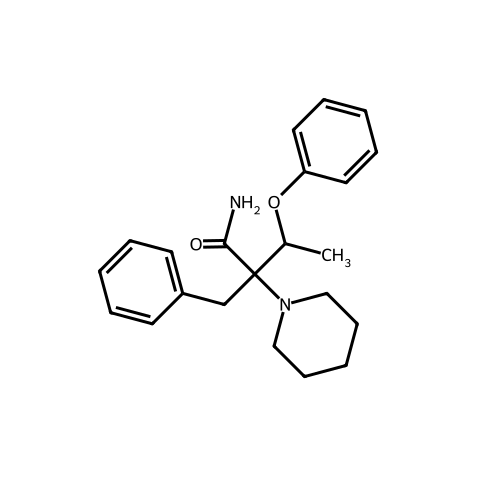 CC(Oc1ccccc1)C(Cc1ccccc1)(C(N)=O)N1CCCCC1